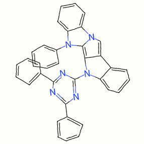 c1ccc(-c2nc(-c3ccccc3)nc(-n3c4ccccc4c4cn5c6ccccc6n(-c6ccccc6)c5c43)n2)cc1